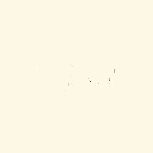 Cn1cnc2cccc(C(=O)N3CC(CN4CCC(c5ccc(F)cc5)CC4)C(c4ccsc4)C3)c21